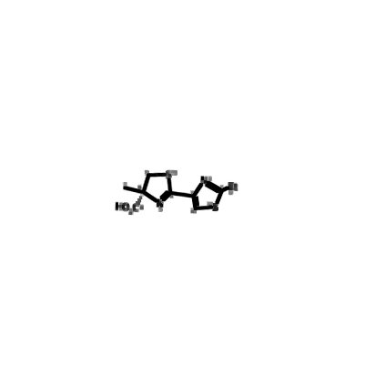 CCc1nc(C2=N[C@](C)(C(=O)O)CS2)cs1